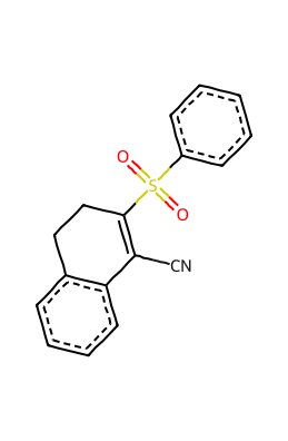 N#CC1=C(S(=O)(=O)c2ccccc2)CCc2ccccc21